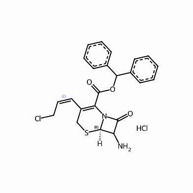 Cl.NC1C(=O)N2C(C(=O)OC(c3ccccc3)c3ccccc3)=C(/C=C\CCl)CS[C@H]12